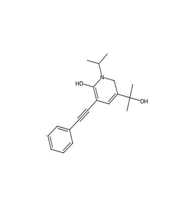 CC(C)N1CC(C(C)(C)O)=CC(C#Cc2c[c]ccc2)=C1O